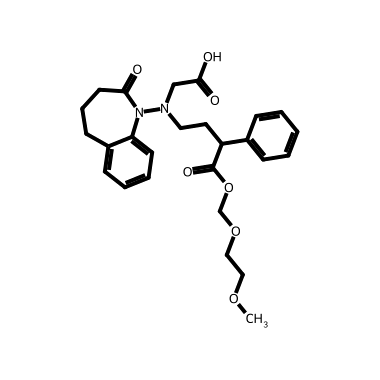 COCCOCOC(=O)C(CCN(CC(=O)O)N1C(=O)CCCc2ccccc21)c1ccccc1